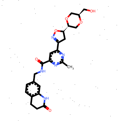 Cc1nc(C(=O)NCc2ccc3c(c2)NC(=O)CC3)cc(C2=NOC([C@H]3CO[C@H](CO)CO3)C2)n1